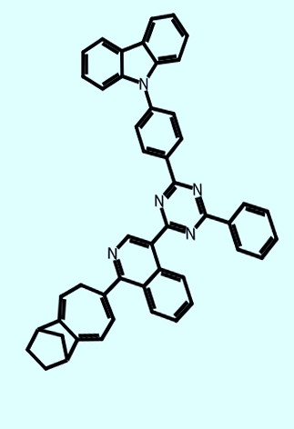 C1=C(c2ncc(-c3nc(-c4ccccc4)nc(-c4ccc(-n5c6ccccc6c6ccccc65)cc4)n3)c3ccccc23)CC=C2C(=C1)C1CCC2C1